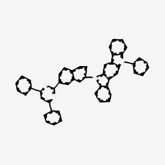 c1ccc(-c2cc(-c3ccccc3)nc(-c3ccc4ccc(-n5c6ccccc6c6cc7c(cc65)c5ccccc5n7-c5ccccc5)cc4c3)n2)cc1